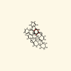 C1=CCC(N2c3c(C4=CC=CC5OC6=CCCCC6C(C6C7C=C(C8CCCCC8)C=CC7OC7CCC=CC76)C45)cccc3C3C=CCCC32)C=C1